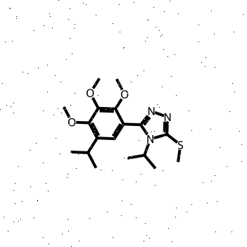 COc1c(-c2nnc(SC)n2C(C)C)cc(C(C)C)c(OC)c1OC